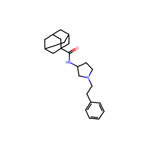 O=C(NC1CCN(CCc2ccccc2)C1)C12CC3CC(CC(C3)C1)C2